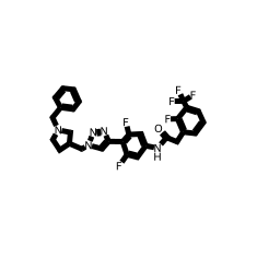 O=C(Cc1cccc(C(F)(F)F)c1F)Nc1cc(F)c(-c2cn(CC3CCN(Cc4ccccc4)C3)nn2)c(F)c1